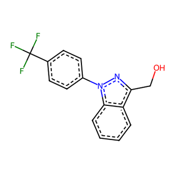 OCc1nn(-c2ccc(C(F)(F)F)cc2)c2ccccc12